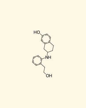 OCCc1ccccc1NC1CCc2ccc(O)cc2C1